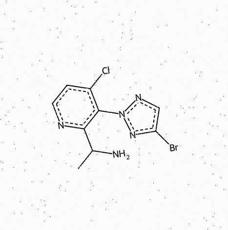 CC(N)c1nccc(Cl)c1-n1ncc(Br)n1